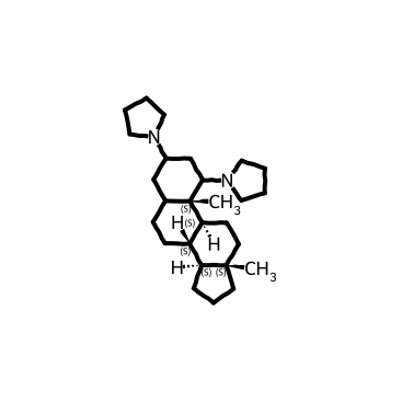 C[C@@]12CCC[C@H]1[C@@H]1CCC3CC(N4CCCC4)CC(N4CCCC4)[C@]3(C)[C@H]1CC2